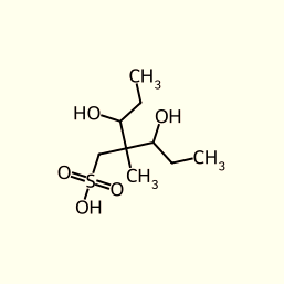 CCC(O)C(C)(CS(=O)(=O)O)C(O)CC